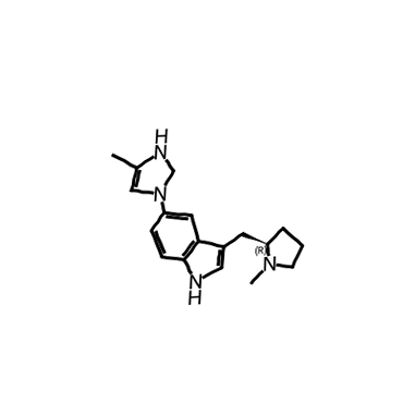 CC1=CN(c2ccc3[nH]cc(C[C@H]4CCCN4C)c3c2)CN1